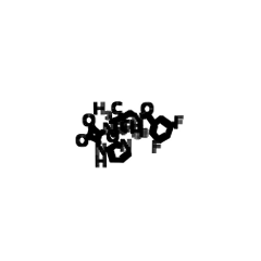 COc1ncccc1Nc1c(NCC(C)(C)CNC(=O)c2cc(F)cc(F)c2)c(=O)c1=O